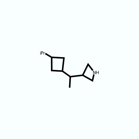 CC(C)C1CC(C(C)C2CNC2)C1